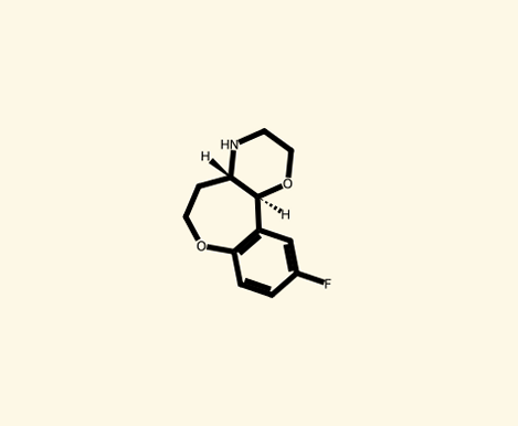 Fc1ccc2c(c1)[C@@H]1OCCN[C@H]1CCO2